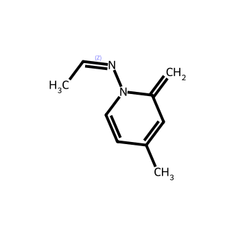 C=C1C=C(C)C=CN1/N=C\C